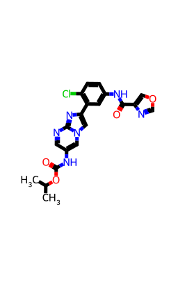 CC(C)OC(=O)Nc1cnc2nc(-c3cc(NC(=O)c4cocn4)ccc3Cl)cn2c1